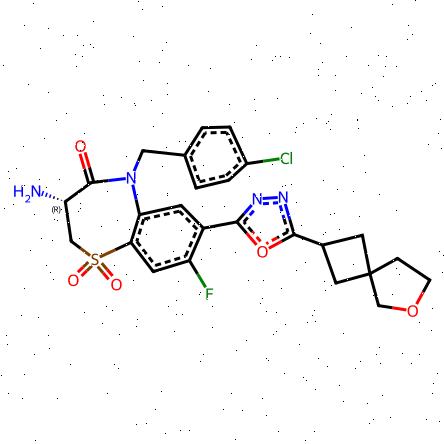 N[C@H]1CS(=O)(=O)c2cc(F)c(-c3nnc(C4CC5(CCOC5)C4)o3)cc2N(Cc2ccc(Cl)cc2)C1=O